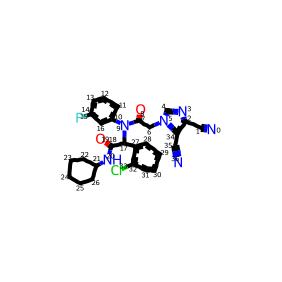 N#Cc1ncn(CC(=O)N(c2cccc(F)c2)C(C(=O)NC2CCCCC2)c2ccccc2Cl)c1C#N